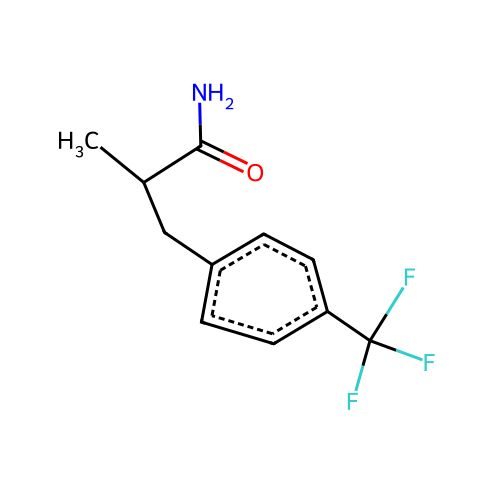 CC(Cc1ccc(C(F)(F)F)cc1)C(N)=O